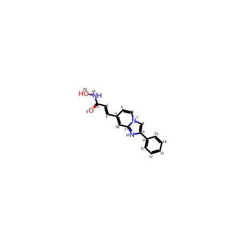 O=C(/C=C/c1ccn2cc(-c3ccccc3)nc2c1)NO